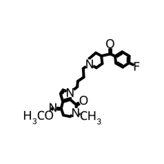 CON=C1CCN(C)C(=O)c2c1ccn2CCCCN1CCC(C(=O)c2ccc(F)cc2)CC1